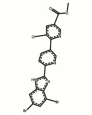 COC(=O)c1cnc(-c2ccc(-c3nc4c(Br)cc(Br)cc4[nH]3)nc2)c(Cl)c1